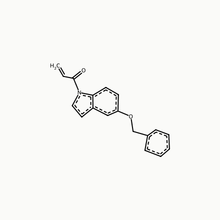 C=CC(=O)n1ccc2cc(OCc3ccccc3)ccc21